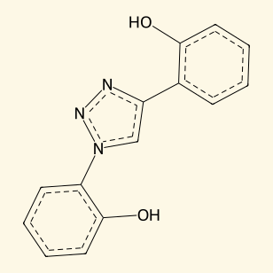 Oc1ccccc1-c1cn(-c2ccccc2O)nn1